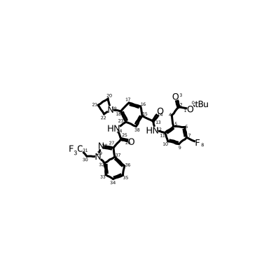 CC(C)(C)OC(=O)Cc1cc(F)ccc1NC(=O)c1ccc(N2CCC2)c(NC(=O)c2nn(CC(F)(F)F)c3ccccc23)c1